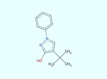 CC(C)(C)c1cn(-c2ccccc2)nc1O